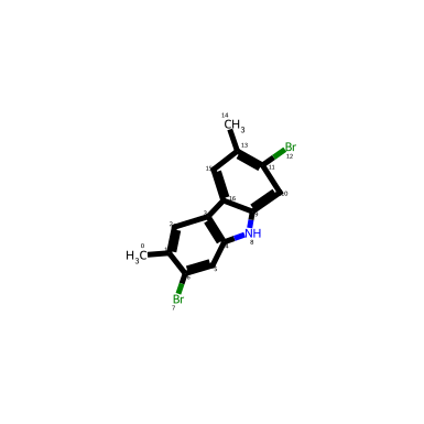 Cc1cc2c(cc1Br)[nH]c1cc(Br)c(C)cc12